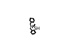 C=C(S)N(Cc1ccccc1)Cc1ccccc1